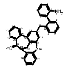 Nc1ccccc1-c1ccccc1Cc1cc2c3c(c1)-c1ccccc1C(=O)C(C3)c1ccccc1S2